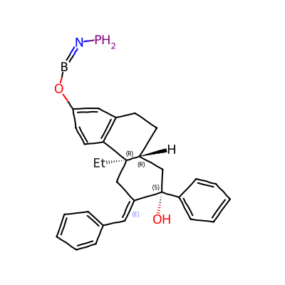 CC[C@@]12C/C(=C\c3ccccc3)[C@](O)(c3ccccc3)C[C@H]1CCc1cc(OB=NP)ccc12